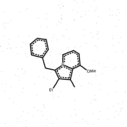 CCc1c(C)c2c(OC)cccn2c1Cc1ccccc1